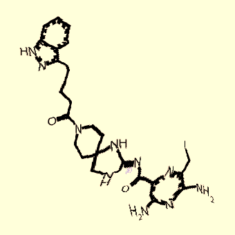 Nc1nc(N)c(C(=O)/N=C2\NCC3(CCN(C(=O)CCCc4n[nH]c5ccccc45)CC3)N2)nc1CI